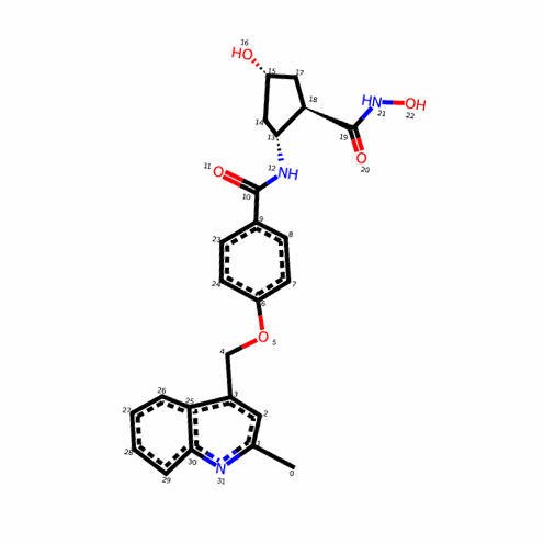 Cc1cc(COc2ccc(C(=O)N[C@@H]3C[C@H](O)C[C@H]3C(=O)NO)cc2)c2ccccc2n1